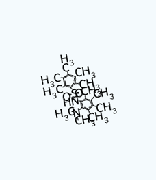 Cc1c(C)c(C)c(S(=O)(=O)Nc2c(C)c(C)c(C)c(C)c2N(C)C)c(C)c1C